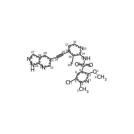 COc1nc(C)c(Cl)cc1S(=O)(=O)Nc1nccc(C#Cc2cnc3[nH]ncc3c2)c1F